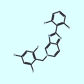 Fc1cc(F)c(Cn2ccc3nc(-c4c(F)cccc4F)nc-3c2)c(F)c1